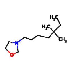 CCC(C)(C)CCCCN1CCOC1